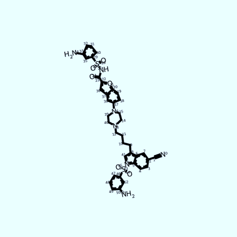 N#Cc1ccc2c(c1)c(CCCCN1CCN(c3ccc4oc(C(=O)NS(=O)(=O)c5cccc(N)c5)cc4c3)CC1)cn2S(=O)(=O)c1cccc(N)c1